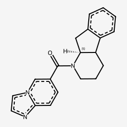 O=C(c1ccc2nccn2c1)N1CCCC2c3ccccc3C[C@@H]21